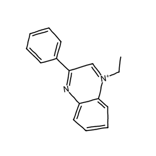 CC[n+]1cc(-c2ccccc2)nc2ccccc21